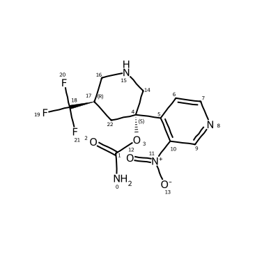 NC(=O)O[C@@]1(c2ccncc2[N+](=O)[O-])CNC[C@H](C(F)(F)F)C1